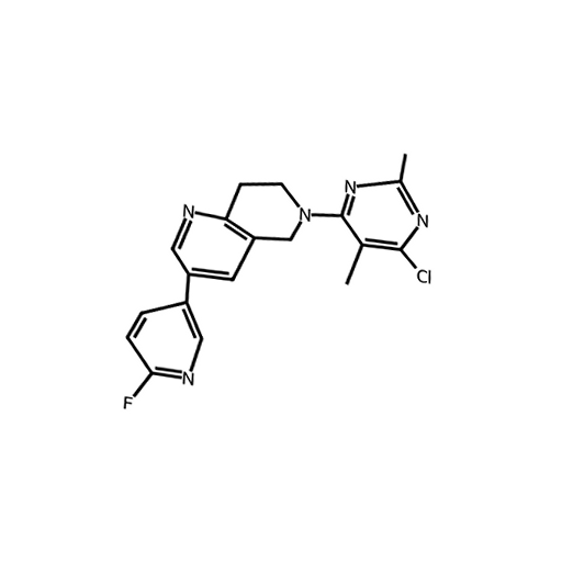 Cc1nc(Cl)c(C)c(N2CCc3ncc(-c4ccc(F)nc4)cc3C2)n1